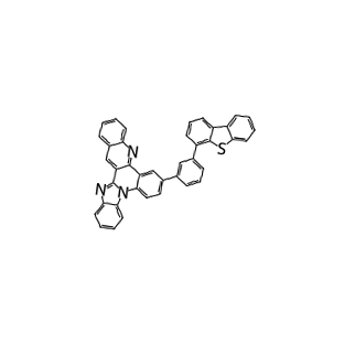 c1cc(-c2ccc3c(c2)c2nc4ccccc4cc2c2nc4ccccc4n32)cc(-c2cccc3c2sc2ccccc23)c1